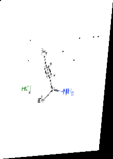 CCC#CC(N)CC.Cl